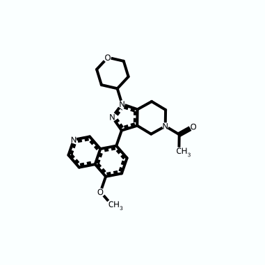 COc1ccc(-c2nn(C3CCOCC3)c3c2CN(C(C)=O)CC3)c2cnccc12